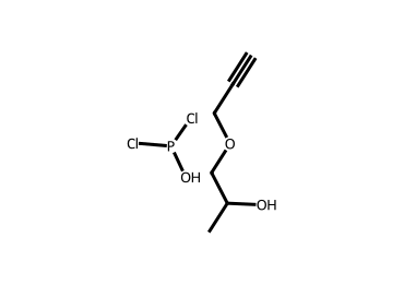 C#CCOCC(C)O.OP(Cl)Cl